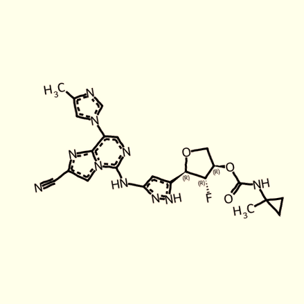 Cc1cn(-c2cnc(Nc3cc([C@H]4OC[C@@H](OC(=O)NC5(C)CC5)[C@@H]4F)[nH]n3)n3cc(C#N)nc23)cn1